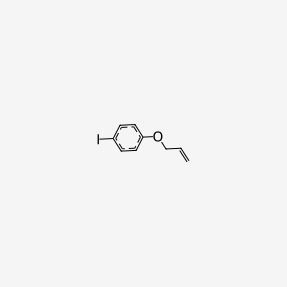 C=CCOc1ccc(I)cc1